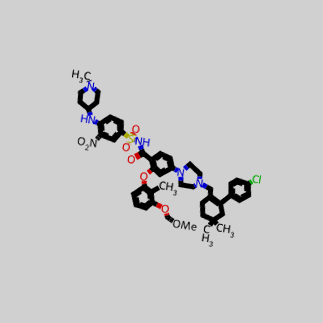 COCOc1cccc(Oc2cc(N3CCN(CC4=C(c5ccc(Cl)cc5)CC(C)(C)CC4)CC3)ccc2C(=O)NS(=O)(=O)c2ccc(NC3CCN(C)CC3)c([N+](=O)[O-])c2)c1C